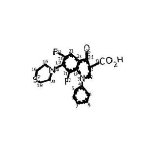 O=C(O)c1cn(-c2ccccc2)c2c(F)c(N3CCSCC3)c(F)cc2c1=O